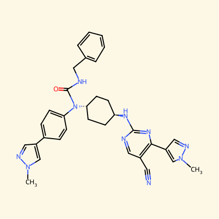 Cn1cc(-c2ccc(N(C(=O)NCc3ccccc3)[C@H]3CC[C@H](Nc4ncc(C#N)c(-c5cnn(C)c5)n4)CC3)cc2)cn1